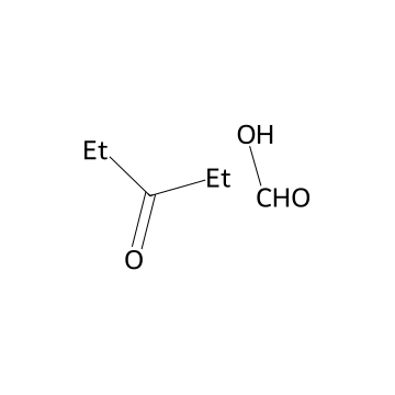 CCC(=O)CC.O=CO